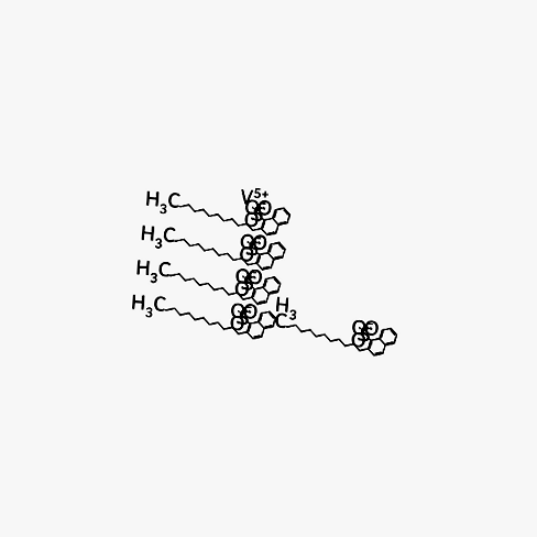 CCCCCCCCCCCCc1ccc2ccccc2c1S(=O)(=O)[O-].CCCCCCCCCCCCc1ccc2ccccc2c1S(=O)(=O)[O-].CCCCCCCCCCCCc1ccc2ccccc2c1S(=O)(=O)[O-].CCCCCCCCCCCCc1ccc2ccccc2c1S(=O)(=O)[O-].CCCCCCCCCCCCc1ccc2ccccc2c1S(=O)(=O)[O-].[V+5]